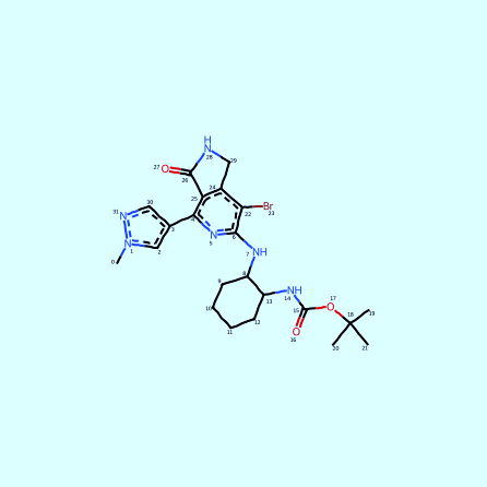 Cn1cc(-c2nc(NC3CCCCC3NC(=O)OC(C)(C)C)c(Br)c3c2C(=O)NC3)cn1